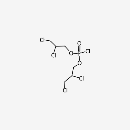 O=P(Cl)(OCC(Cl)CCl)OCC(Cl)CCl